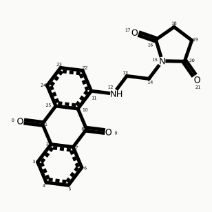 O=C1c2ccccc2C(=O)c2c(NCCN3C(=O)CCC3=O)cccc21